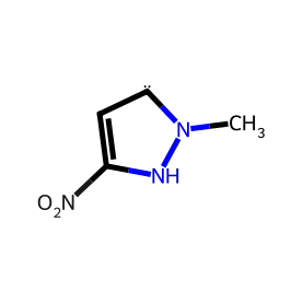 CN1[C]C=C([N+](=O)[O-])N1